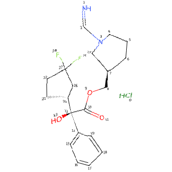 Cl.N=CN1CCC[C@@H](COC(=O)[C@](O)(c2ccccc2)[C@@H]2CCC(F)(F)C2)C1